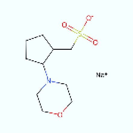 O=S(=O)([O-])CC1CCCC1N1CCOCC1.[Na+]